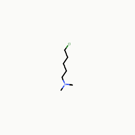 CN(C)CCCCCCl